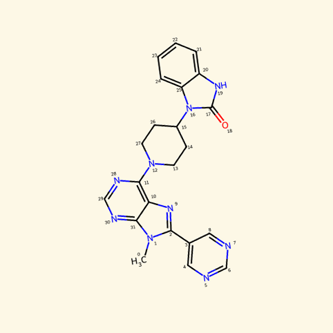 Cn1c(-c2cncnc2)nc2c(N3CCC(n4c(=O)[nH]c5ccccc54)CC3)ncnc21